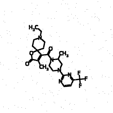 CCN1CCC2(CC1)OC(=O)C(C)=C2C(=O)N1CCN(c2nccc(C(F)(F)F)n2)CC1C